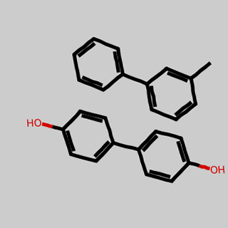 Cc1cccc(-c2ccccc2)c1.Oc1ccc(-c2ccc(O)cc2)cc1